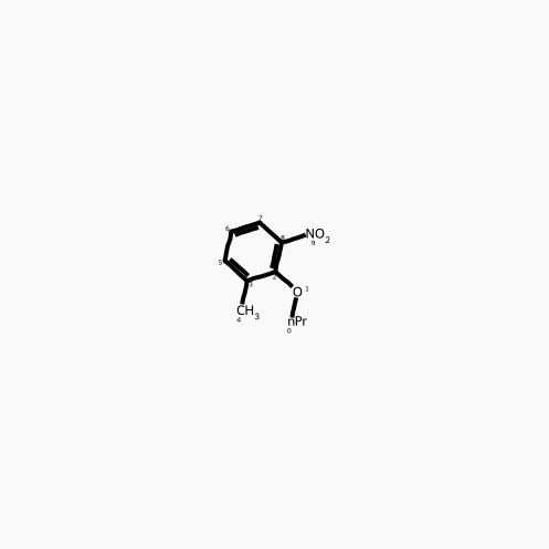 CCCOc1c(C)cccc1[N+](=O)[O-]